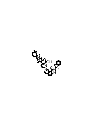 COC1(Cn2nnc(-c3ccc(N4CCc5cccc(C(=O)Nc6nc7ccccc7s6)c5C4)nc3C(=O)O)c2C)CCCC(C)(C)C1